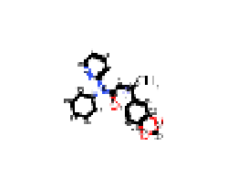 C/C(=C/C(=O)N(c1ccccn1)C1CCCCC1)c1ccc2c(c1)OCO2